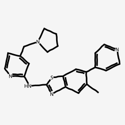 Cc1cc2nc(Nc3cc(CN4CCCC4)ccn3)sc2cc1-c1ccncc1